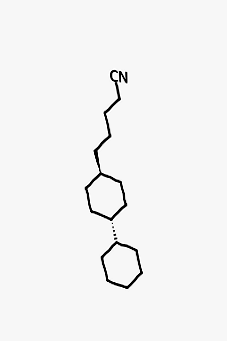 N#CCCCC[C@H]1CC[C@H](C2CCCCC2)CC1